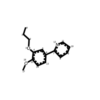 CCCOc1cc(-c2ccccn2)ccc1OC